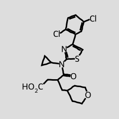 O=C(O)CC(CC1CCOCC1)C(=O)N(c1nc(-c2cc(Cl)ccc2Cl)cs1)C1CC1